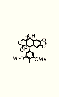 COc1cc([C@@H]2c3cc4c(cc3[C@@H](O)[C@H]3COC(=O)[C@H]23)OCO4)cc(OC)c1C